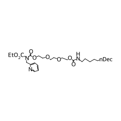 CCCCCCCCCCCCCCCNC(=O)OCCOCCOCCOC(=O)N(Cc1ccccn1)C(=O)OCC